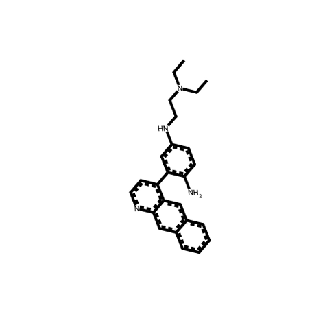 CCN(CC)CCNc1ccc(N)c(-c2ccnc3cc4ccccc4cc23)c1